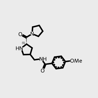 COc1ccc(C(=O)NCC2CN[C@H](C(=O)N3CCCC3)C2)cc1